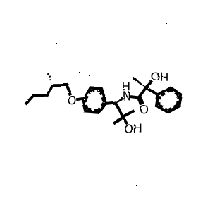 CCC[C@H](C)COc1ccc([C@@H](NC(=O)[C@](C)(O)c2ccccc2)C(C)(C)O)cc1